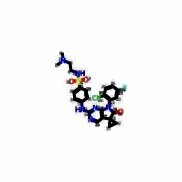 CN(C)CCNS(=O)(=O)c1ccc(Nc2ncc3c(n2)N(c2cc(F)ccc2Cl)C(=O)C32CC2)cc1